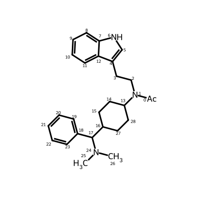 CC(=O)N(CCc1c[nH]c2ccccc12)C1CCC(C(c2ccccc2)N(C)C)CC1